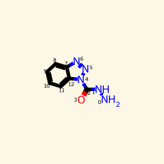 NNC(=O)n1nnc2ccccc21